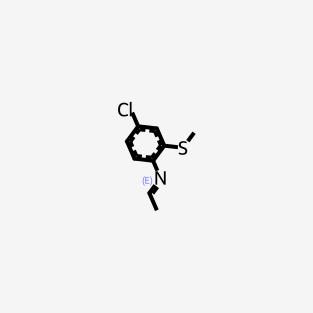 C/C=N/c1ccc(Cl)cc1SC